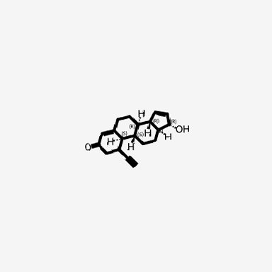 C#CC1CC(=O)C=C2CC[C@H]3[C@@H]4C=C[C@H](O)[C@H]4CC[C@@H]3[C@H]21